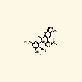 C[C@H](Nc1nc(N)nc(N)c1C#N)c1nc2ccn(C)c2cc1-c1ccnn1C(F)F